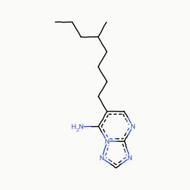 CCCC(C)CCCCc1cnc2ncnn2c1N